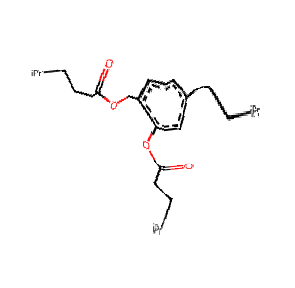 CC(C)CCC(=O)Oc1ccc(CCC(C)C)cc1OC(=O)CCC(C)C